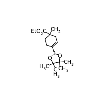 [CH2]C1(C(=O)OCC)CC=C(B2OC(C)(C)C(C)(C)O2)CC1